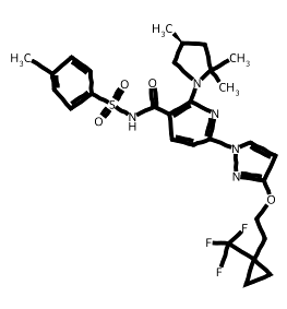 Cc1ccc(S(=O)(=O)NC(=O)c2ccc(-n3ccc(OCCC4(C(F)(F)F)CC4)n3)nc2N2C[C@@H](C)CC2(C)C)cc1